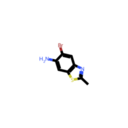 Cc1nc2cc(Br)c(N)cc2s1